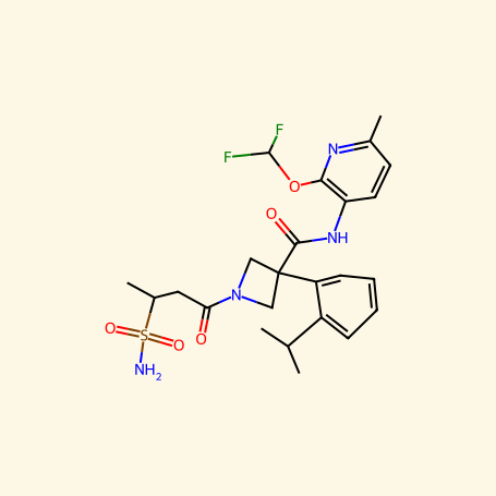 Cc1ccc(NC(=O)C2(c3ccccc3C(C)C)CN(C(=O)CC(C)S(N)(=O)=O)C2)c(OC(F)F)n1